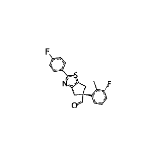 Cc1c(F)cccc1[C@@]1(C=O)Cc2nc(-c3ccc(F)cc3)sc2C1